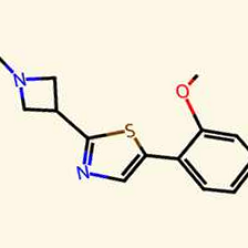 COc1ccccc1-c1cnc(C2CN(C)C2)s1